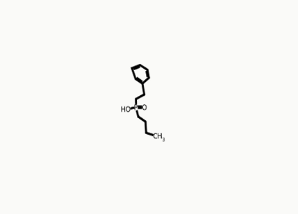 CCCCP(=O)(O)CCc1ccccc1